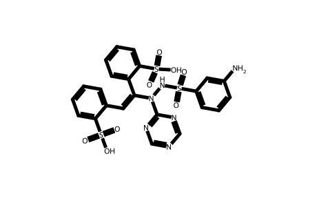 Nc1cccc(S(=O)(=O)NN(C(=Cc2ccccc2S(=O)(=O)O)c2ccccc2S(=O)(=O)O)c2ncncn2)c1